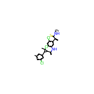 C=C(C(=S)NC(C)C)c1cc(NC(=C)C2C(c3cc(C)cc(Cl)c3)C2(C)Cl)ccc1Cl